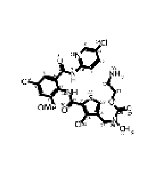 COc1cc(Cl)cc(C(=O)Nc2ccc(Cl)cn2)c1NC(=O)c1scc(CN(C)C(=O)OCCN)c1Cl